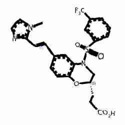 Cn1ccnc1/C=C/c1ccc2c(c1)N(S(=O)(=O)c1cccc(C(F)(F)F)c1)C[C@H](CCC(=O)O)O2